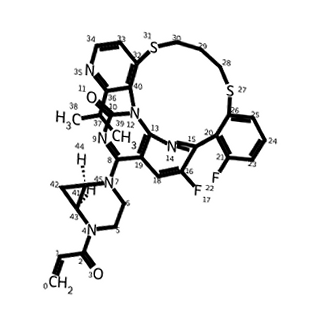 C=CC(=O)N1CCN(c2nc(=O)n3c4nc(c(F)cc24)-c2c(F)cccc2SCCCSc2ccnc(C(C)C)c2-3)[C@@H]2C[C@@H]21